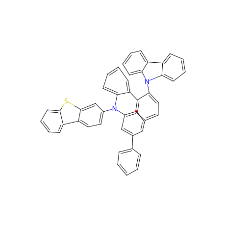 c1ccc(-c2cccc(N(c3ccc4c(c3)sc3ccccc34)c3ccccc3-c3ccccc3-n3c4ccccc4c4ccccc43)c2)cc1